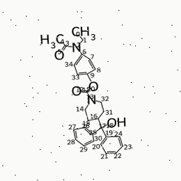 CCN(C(C)=O)c1ccc(OC(=O)N2CCC(C(O)(c3ccccc3)c3ccccc3)CC2)cc1